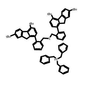 CC(C)(C)c1ccc2c(c1)Cc1c(-c3ccccc3CSCc3ccccc3-c3ccc(C(C)(C)C)c4c3Cc3cc(C(C)(C)C)ccc3-4)ccc(C(C)(C)C)c1-2.c1ccc([CH2][Hf]([CH2]c2ccccc2)[CH2]c2ccccc2)cc1